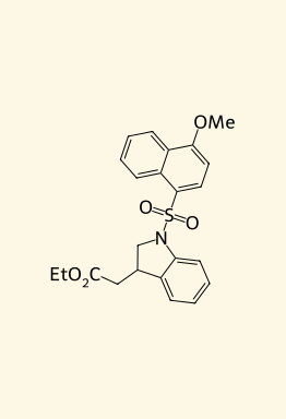 CCOC(=O)CC1CN(S(=O)(=O)c2ccc(OC)c3ccccc23)c2ccccc21